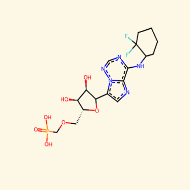 O=P(O)(O)COC[C@H]1OC(c2cnc3c(NC4CCCCC4(F)F)ncnn23)[C@H](O)[C@@H]1O